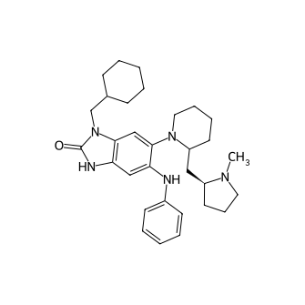 CN1CCC[C@H]1CC1CCCCN1c1cc2c(cc1Nc1ccccc1)[nH]c(=O)n2CC1CCCCC1